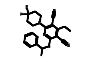 CCc1c(C#N)c(SC(C)c2ccccc2)nc(N2CCC(F)(F)CC2)c1C#N